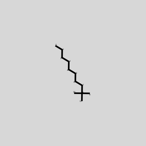 CCCC[CH]CCCC(C)(C)C